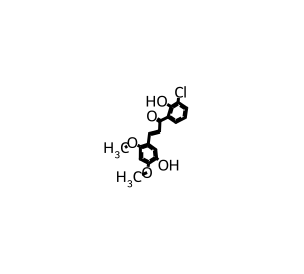 COc1cc(OC)c(/C=C/C(=O)c2cccc(Cl)c2O)cc1O